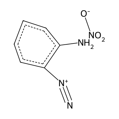 N#[N+]c1ccccc1N.O=[N+]([O-])[O-]